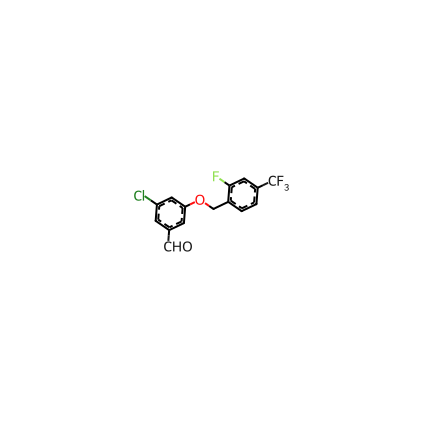 O=Cc1cc(Cl)cc(OCc2ccc(C(F)(F)F)cc2F)c1